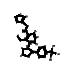 CCc1c(NCc2ccsc2)ncnc1N1CCCC1c1ccc(C(F)(F)I)cc1